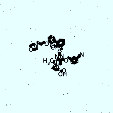 COc1nc(OCc2cccc(-c3cccc(OCCCN4CCOCC4)c3C)c2Cl)nc(OCc2cccc(C#N)c2)c1CN1CCC[C@H]1C(=O)O